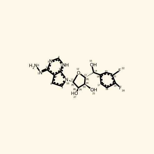 NN=c1nc[nH]c2c1ccn2[C@@H]1O[C@H](C(O)c2ccc(F)c(F)c2)[C@@H](O)[C@H]1O